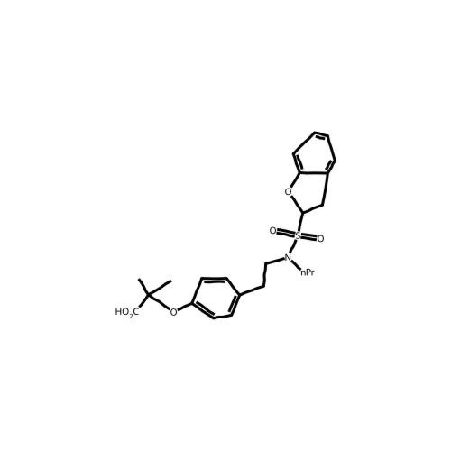 CCCN(CCc1ccc(OC(C)(C)C(=O)O)cc1)S(=O)(=O)C1Cc2ccccc2O1